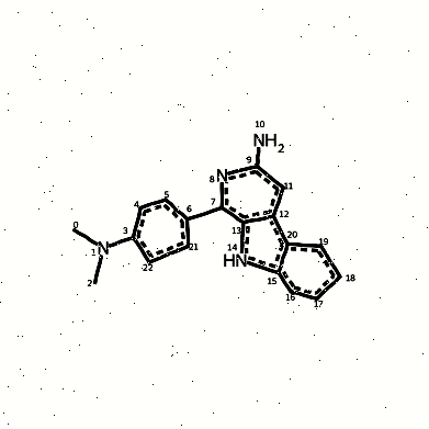 CN(C)c1ccc(-c2nc(N)cc3c2[nH]c2ccccc23)cc1